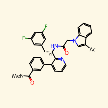 CNC(=O)c1cccc(-c2cccnc2[C@H](Cc2cc(F)cc(F)c2)NC(=O)Cn2cc(C(C)=O)c3ccccc32)c1